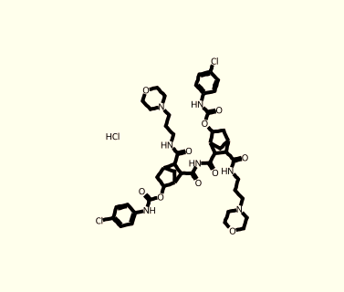 Cl.O=C(Nc1ccc(Cl)cc1)OC1CC2CC1C(C(=O)NC(=O)C1C3CC(CC3OC(=O)Nc3ccc(Cl)cc3)C1C(=O)NCCCN1CCOCC1)C2C(=O)NCCCN1CCOCC1